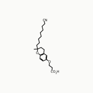 CC1(CCCCCCCCC#N)CCc2cc(OCCC(=O)O)ccc2O1